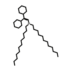 CCCCCCCCCCCCP(C=C(C1CCCCC1)C1CCCCC1)CCCCCCCCCCCC